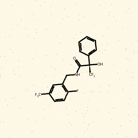 O=C(NCc1cc(C(F)(F)F)ccc1F)[C@@](O)(c1ccccc1)C(F)(F)F